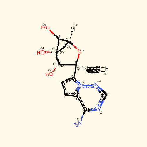 C#C[C@@]1(c2ccc3c(N)ncnn23)O[C@@H]2C(O)[C@]2(O)[C@H]1O